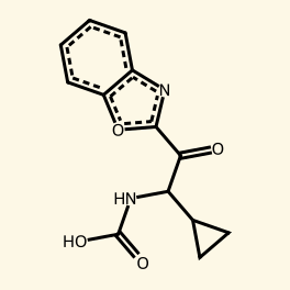 O=C(O)NC(C(=O)c1nc2ccccc2o1)C1CC1